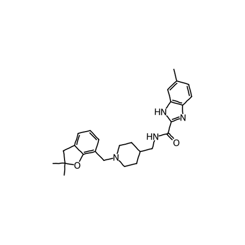 Cc1ccc2nc(C(=O)NCC3CCN(Cc4cccc5c4OC(C)(C)C5)CC3)[nH]c2c1